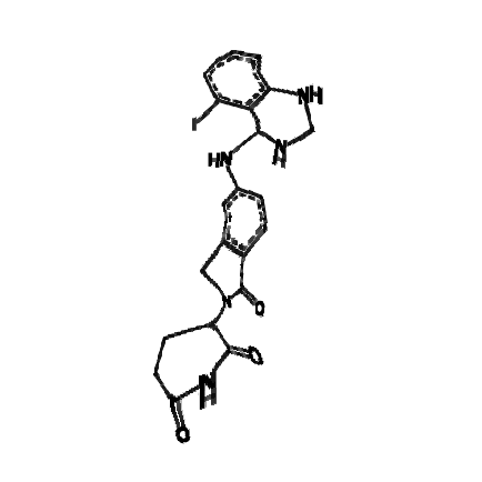 O=C1CCC(N2Cc3cc(NC4NCNc5cccc(I)c54)ccc3C2=O)C(=O)N1